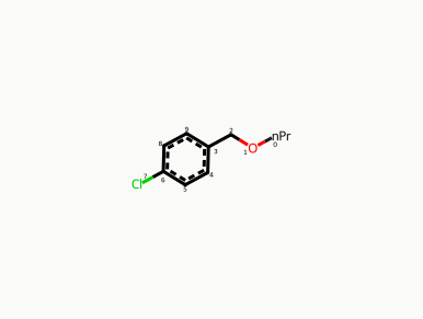 [CH2]CCOCc1ccc(Cl)cc1